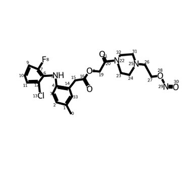 Cc1ccc(Nc2c(F)cccc2Cl)c(CC(=O)OCC(=O)N2CCN(CCON=O)CC2)c1